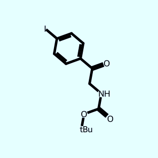 CC(C)(C)OC(=O)NCC(=O)c1ccc(I)cc1